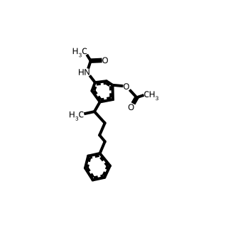 CC(=O)Nc1cc(OC(C)=O)cc(C(C)CCCc2ccccc2)c1